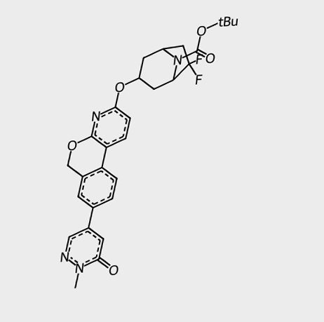 Cn1ncc(-c2ccc3c(c2)COc2nc(OC4CC5CC(F)(F)C(C4)N5C(=O)OC(C)(C)C)ccc2-3)cc1=O